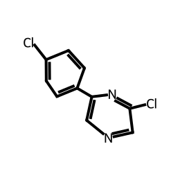 Clc1ccc(-c2cncc(Cl)n2)cc1